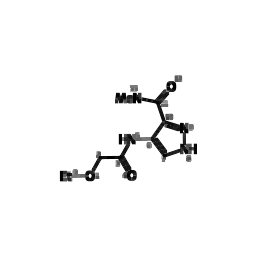 CCOCC(=O)Nc1c[nH]nc1C(=O)NC